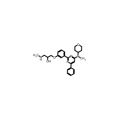 CNCC(O)COc1cccc(-c2nc(-c3ccccc3)cc(N(C)C3CCOCC3)n2)c1